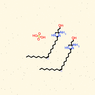 CCCCCCCC/C=C\CCCCCCCCC1=NC(N)(CCO)CN1.CCCCCCCC/C=C\CCCCCCCCC1=NC(N)(CCO)CN1.O=S(=O)(O)O